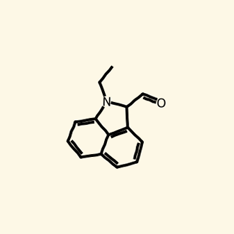 CCN1c2cccc3cccc(c23)C1C=O